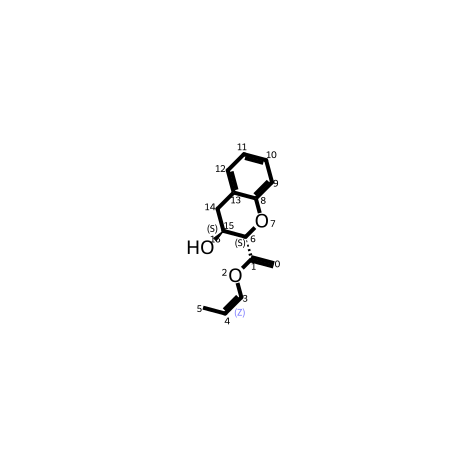 C=C(O/C=C\C)[C@H]1Oc2ccccc2C[C@@H]1O